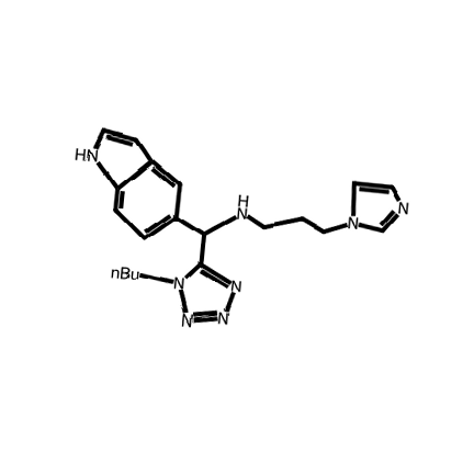 CCCCn1nnnc1C(NCCCn1ccnc1)c1ccc2[nH]ccc2c1